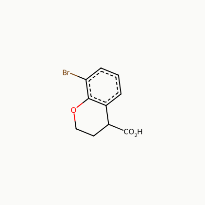 O=C(O)C1CCOc2c(Br)cccc21